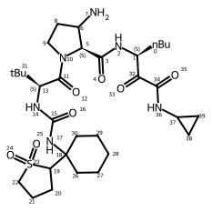 CCCC[C@H](NC(=O)[C@@H]1C(N)CCN1C(=O)[C@@H](NC(=O)NC1(C2CCCS2(=O)=O)CCCCC1)C(C)(C)C)C(=O)C(=O)NC1CC1